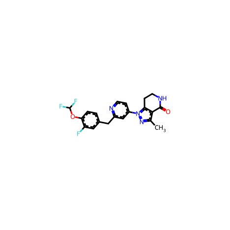 Cc1nn(-c2ccnc(Cc3ccc(OC(F)F)c(F)c3)c2)c2c1C(=O)NCC2